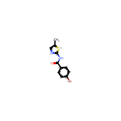 Cc1cnc(NC(=O)c2ccc(Br)cc2)s1